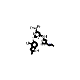 C/C=C/c1cc(Nc2cc(N(CC)CC)nc(Oc3ccc4[nH]c(C)cc4c3Cl)n2)n[nH]1